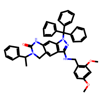 COc1ccc(CNc2nn(C(c3ccccc3)(c3ccccc3)c3ccccc3)c3cc4c(cc23)CN(C(C)c2ccccc2)C(=O)N4)c(OC)c1